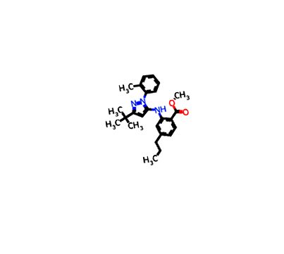 CCCc1ccc(C(=O)OC)c(Nc2cc(C(C)(C)C)nn2-c2ccccc2C)c1